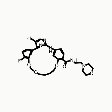 O=C(NCCN1CCOCC1)c1ccc2cc1OCCCCCCOc1cc(ccc1F)-c1nc(ncc1Cl)N2